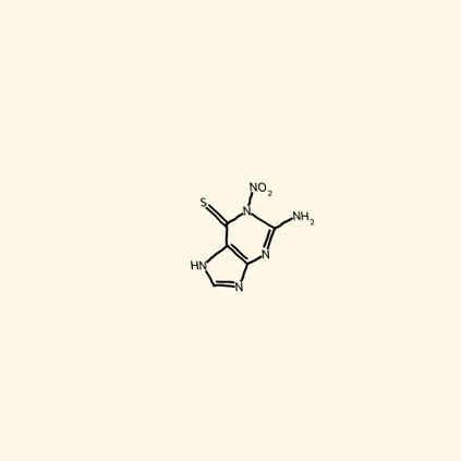 Nc1nc2nc[nH]c2c(=S)n1[N+](=O)[O-]